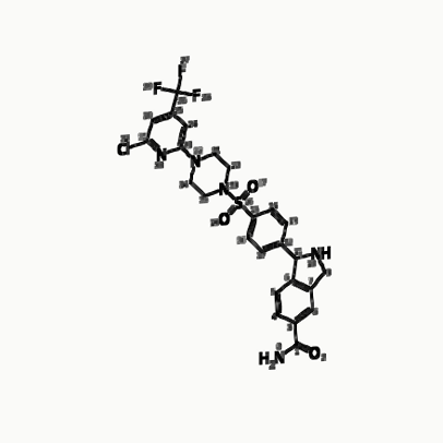 NC(=O)c1ccc2c(c1)CNC2c1ccc(S(=O)(=O)N2CCN(c3cc(C(F)(F)F)cc(Cl)n3)CC2)cc1